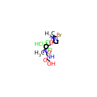 Cc1nc2c(OCc3c(Cl)ccc(N(C)C(=O)CNC(=O)CO)c3Cl)cccn2c1Br.Cl